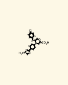 Cn1cnc(C2CCC(N3C[C@H](C(=O)O)OC[C@@H]3Cc3ccc(Cl)cc3)CC2)n1